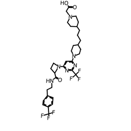 O=C(O)CN1CCC(CCCC2CCN(c3cc(N4CCC4C(=O)NCCc4ccc(C(F)(F)F)cc4)nc(C(F)(F)F)n3)CC2)CC1